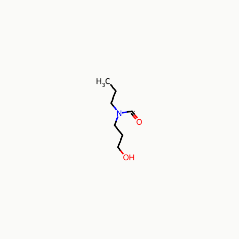 CCCN([C]=O)CCCO